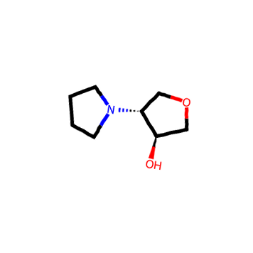 O[C@@H]1COC[C@H]1N1CCCC1